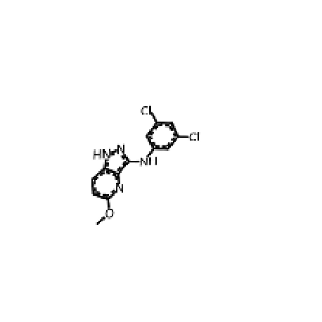 COc1ccc2[nH]nc(Nc3cc(Cl)cc(Cl)c3)c2n1